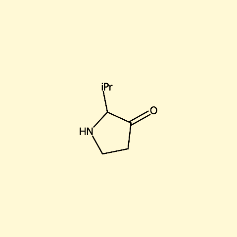 [CH2]C(C)C1NCCC1=O